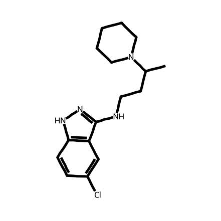 CC(CCNc1n[nH]c2ccc(Cl)cc12)N1CCCCC1